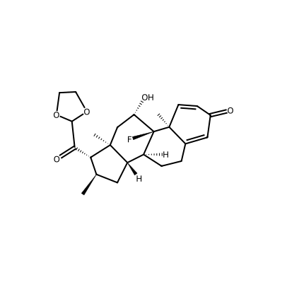 C[C@@H]1C[C@H]2[C@@H]3CCC4=CC(=O)C=C[C@]4(C)[C@@]3(F)[C@@H](O)C[C@]2(C)[C@H]1C(=O)C1OCCO1